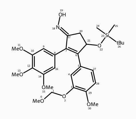 COCOc1cc(C2=C(c3cc(OC)c(OC)c(OC)c3)C(=NO)CC2O[Si](C)(C)C(C)(C)C)ccc1OC